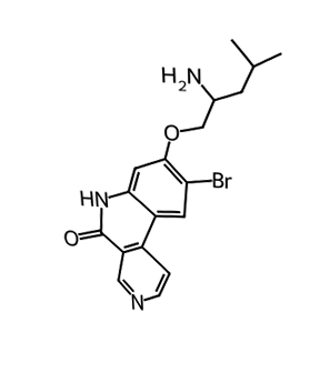 CC(C)CC(N)COc1cc2[nH]c(=O)c3cnccc3c2cc1Br